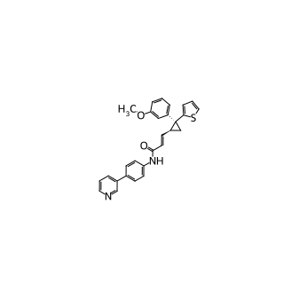 COc1cccc([C@]2(c3cccs3)C[C@H]2C=CC(=O)Nc2ccc(-c3cccnc3)cc2)c1